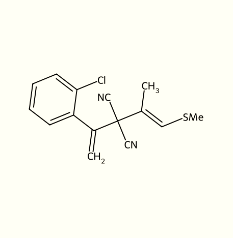 C=C(c1ccccc1Cl)C(C#N)(C#N)/C(C)=C/SC